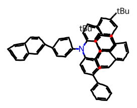 CC(C)(C)c1cc(-c2cccc3cccc(-c4ccccc4N(c4ccc(-c5ccc6ccccc6c5)cc4)c4ccc(-c5ccccc5)cc4-c4ccccc4)c23)cc(C(C)(C)C)c1